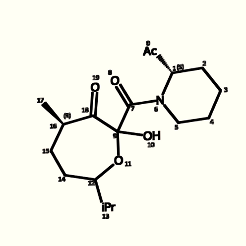 CC(=O)[C@@H]1CCCCN1C(=O)C1(O)OC(C(C)C)CC[C@@H](C)C1=O